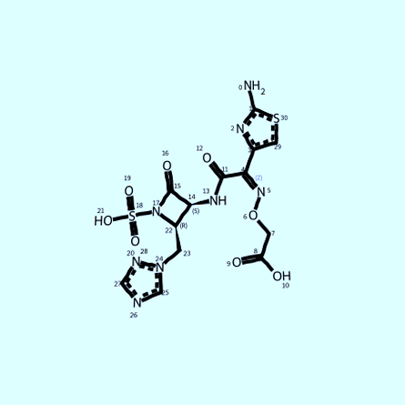 Nc1nc(/C(=N/OCC(=O)O)C(=O)N[C@@H]2C(=O)N(S(=O)(=O)O)[C@@H]2Cn2cncn2)cs1